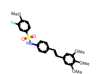 COc1ccc(S(=O)(=O)Nc2ccc(C=Cc3cc(OC)c(OC)c(OC)c3)cc2)cc1F